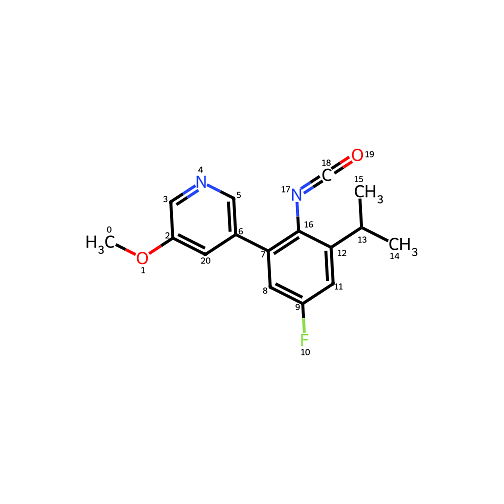 COc1cncc(-c2cc(F)cc(C(C)C)c2N=C=O)c1